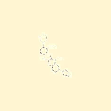 COc1cc(Nc2nc3ccc(-c4cn[nH]c4)cc3n(C)c2=O)ccc1N1CCOCC1